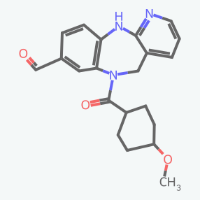 COC1CCC(C(=O)N2Cc3cccnc3Nc3ccc(C=O)cc32)CC1